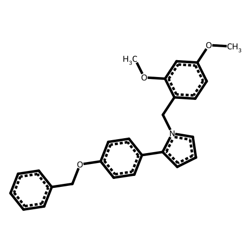 COc1ccc(Cn2cccc2-c2ccc(OCc3ccccc3)cc2)c(OC)c1